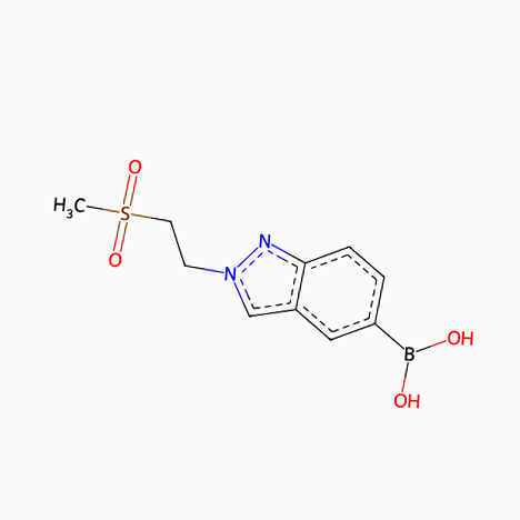 CS(=O)(=O)CCn1cc2cc(B(O)O)ccc2n1